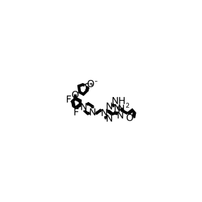 Nc1nc2c(ncn2CCN2CCN(c3cc(O[C@H]4CC[S@@+]([O-])CC4)c(F)cc3F)CC2)c2nc(-c3ccco3)nn12